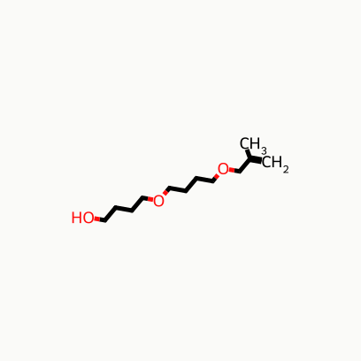 C=C(C)COCCCCOCCCCO